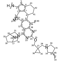 N#Cc1c(N)sc2c1C(c1c(Cl)cc3c(N4CC5CCC(C4)N5)nc(OCC4(CN5CC[C@@H](F)C5)CC4)nc3c1F)CCC2